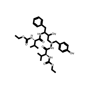 CCOC(=O)N[C@H](C(=O)NC(Cc1ccccc1)C(O)CN(Cc1ccc(O)cc1)NC(=O)[C@@H](NC(=O)OCC)C(C)C)C(C)C